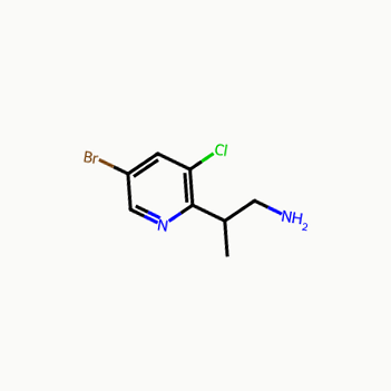 CC(CN)c1ncc(Br)cc1Cl